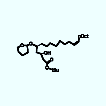 CCCCCCCC/C=C\CCCCCCC[C@H](C[C@H](O)CC(=O)OC(C)(C)C)OC1CCCCO1